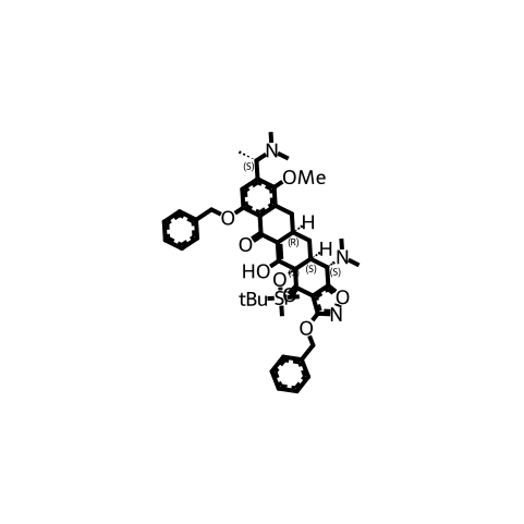 COc1c([C@H](C)N(C)C)cc(OCc2ccccc2)c2c1C[C@H]1C[C@H]3[C@H](N(C)C)c4onc(OCc5ccccc5)c4C(=O)[C@@]3(O[Si](C)(C)C(C)(C)C)C(O)=C1C2=O